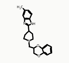 Cc1ccc2[nH]c(C3CCN(CC4COc5ccccc5O4)CC3)nc2c1